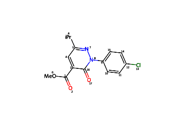 COC(=O)c1cc(C(C)C)nn(-c2ccc(Cl)cc2)c1=O